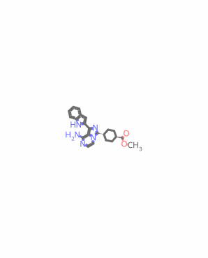 COC(=O)[C@H]1CC[C@H](c2nc(-c3cc4ccccc4[nH]3)c3c(N)nccn32)CC1